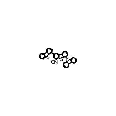 N#Cc1cc(-c2cccc3c2sc2ccccc23)cc2c1sc1c(-n3c4ccccc4c4ccccc43)cccc12